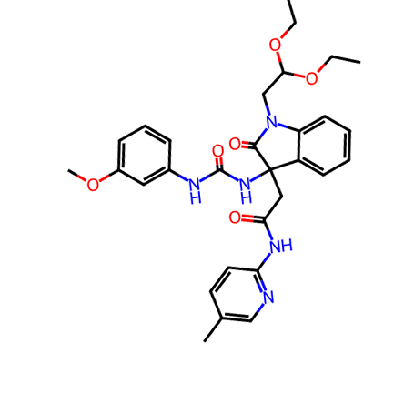 CCOC(CN1C(=O)C(CC(=O)Nc2ccc(C)cn2)(NC(=O)Nc2cccc(OC)c2)c2ccccc21)OCC